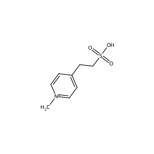 [CH2][n+]1ccc(CCS(=O)(=O)O)cc1